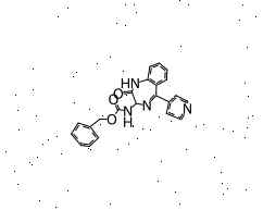 O=C(NC1N=C(c2ccncc2)c2ccccc2NC1=O)OCc1ccccc1